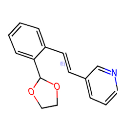 C(=C\c1ccccc1C1OCCO1)/c1cccnc1